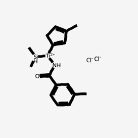 CC1=CC[C]([Ti+2]([NH]C(=O)c2cccc(C)c2)[SiH](C)C)=C1.[Cl-].[Cl-]